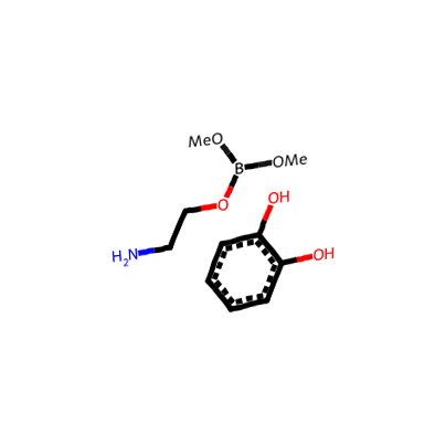 COB(OC)OCCN.Oc1ccccc1O